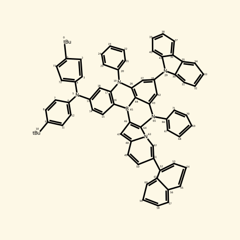 CC(C)(C)c1ccc(N(c2ccc(C(C)(C)C)cc2)c2ccc3c(c2)N(c2ccccc2)c2cc(-n4c5ccccc5c5ccccc54)cc4c2B3c2cc3ccc(-c5cccc6ccccc56)cn3c2N4c2ccccc2)cc1